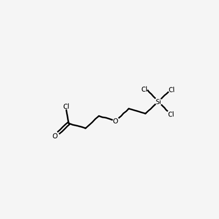 O=C(Cl)CCOCC[Si](Cl)(Cl)Cl